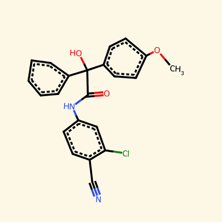 COc1ccc(C(O)(C(=O)Nc2ccc(C#N)c(Cl)c2)c2ccccc2)cc1